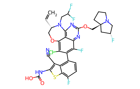 C=C[C@H]1COc2c(Cl)c(-c3ccc(F)c4sc(NC(=O)O)c(C#N)c34)c(F)c3nc(OC[C@@]45CCCN4C[C@H](F)C5)nc(c23)N1CC(F)F